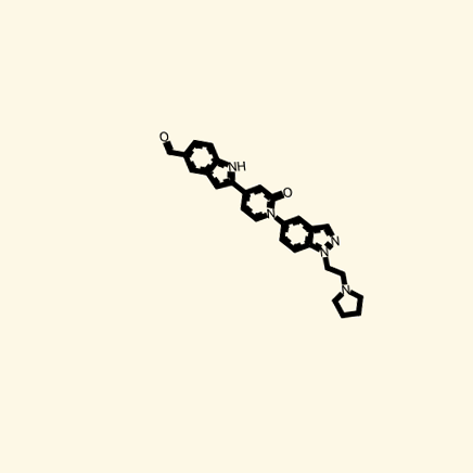 O=Cc1ccc2[nH]c(-c3ccn(-c4ccc5c(cnn5CCN5CCCC5)c4)c(=O)c3)cc2c1